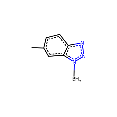 Bn1nnc2ccc(C)cc21